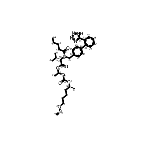 C=NOCCCC[C@H](C)OC(=O)OC(C)OC(=O)[C@H](C(C)C)N(Cc1ccc(-c2ccccc2-c2nnn[nH]2)cc1)C(=O)CCCC